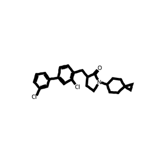 O=C1C(Cc2ccc(-c3cccc(Cl)c3)cc2Cl)CCN1C1CCC2(CC1)CC2